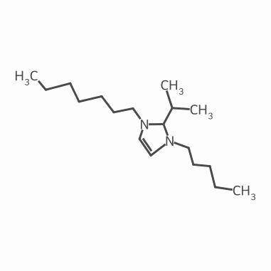 CCCCCCCN1C=CN(CCCCC)C1C(C)C